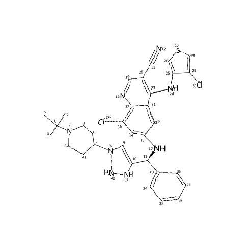 CC(C)(C)N1CCC(N2C=C([C@@H](Nc3cc(Cl)c4ncc(C#N)c(Nc5cscc5Cl)c4c3)c3ccccc3)NN2)CC1